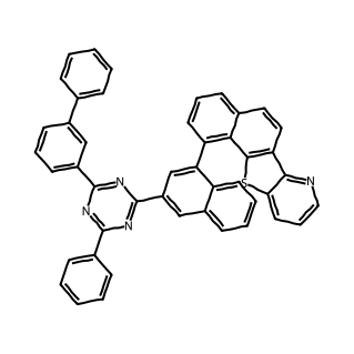 c1ccc(-c2cccc(-c3nc(-c4ccccc4)nc(-c4cc(-c5cccc6ccc7c8ncccc8sc7c56)c5ccccc5c4)n3)c2)cc1